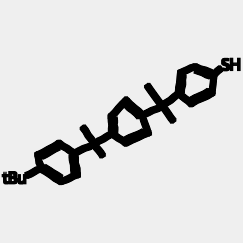 CC(C)(C)c1ccc(C(C)(C)c2ccc(C(C)(C)c3ccc(S)cc3)cc2)cc1